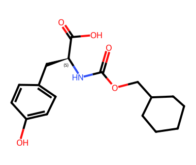 O=C(N[C@@H](Cc1ccc(O)cc1)C(=O)O)OCC1CCCCC1